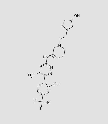 Cc1cc(N[C@@H]2CCCN(CCN3CCC(O)C3)C2)nnc1-c1ccc(C(F)(F)F)cc1O